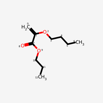 C=C(OCCCC)C(=O)OCCC